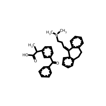 CC(C(=O)O)c1cccc(C(=O)c2ccccc2)c1.CN(C)CCC=C1c2ccccc2CCc2ccccc21